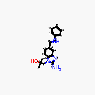 CC(C)(O)Cn1c(N)nc2cc(CNc3ccccc3)ccc21